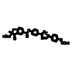 CCCCCCCCOc1ccc(-c2cnc(-c3ccc(OC(=O)c4ccc5c(c4)C(=O)C(C)(CCCCCCCC)C5)cc3)nc2)cc1